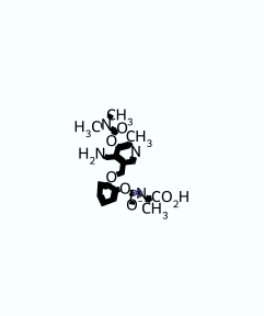 Cc1ncc(COc2ccccc2O/[P+]([O-])=N/C(C)C(=O)O)c(CN)c1OC(=O)N(C)C